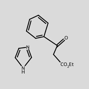 CCOC(=O)CC(=O)c1ccccc1.c1c[nH]cn1